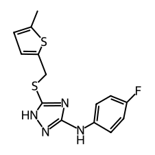 Cc1ccc(CSc2nc(Nc3ccc(F)cc3)n[nH]2)s1